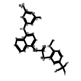 COc1ccc(C(F)(F)F)cc1NC(=O)Nc1ccc(Oc2cc(C)nc(N)n2)c2ccccc12